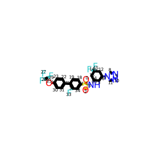 O=S(=O)(N[C@@H]1C[C@H](n2cnnc2)CC(F)(F)C1)c1ccc(-c2ccc(OC(F)(F)F)cc2)c(F)c1